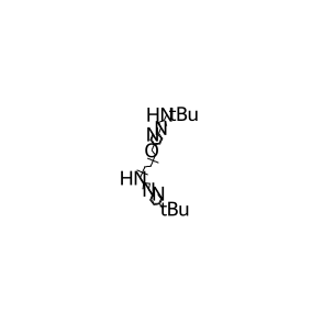 CC(C)(CCC(C)(C)NC1CN(c2ccc(C(C)(C)C)cn2)C1)COc1ccc(N2CC(NC(C)(C)C)C2)nc1